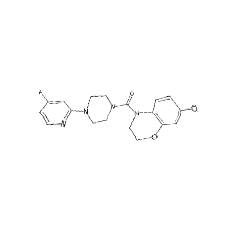 O=C(N1CCN(c2cc(F)ccn2)CC1)N1CCOc2cc(Cl)ccc21